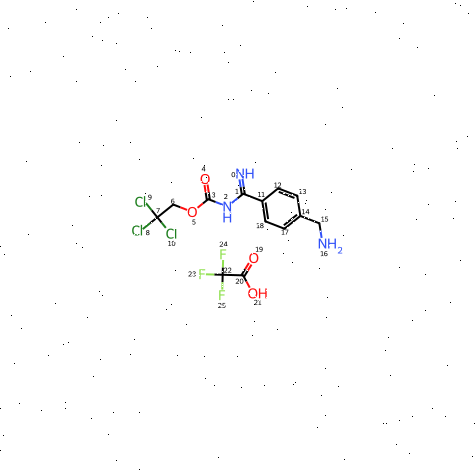 N=C(NC(=O)OCC(Cl)(Cl)Cl)c1ccc(CN)cc1.O=C(O)C(F)(F)F